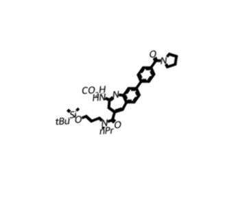 CCCN(CCCO[Si](C)(C)C(C)(C)C)C(=O)C1=Cc2ccc(-c3ccc(C(=O)N4CCCC4)cc3)cc2N=C(NC(=O)O)C1